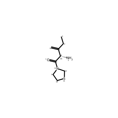 C=C(CC)[C@H](N)C(=O)N1CCSC1